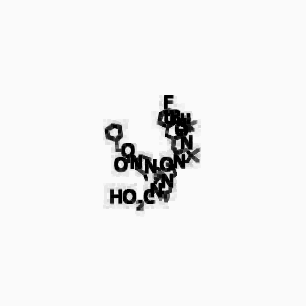 CC1CN(C(=O)OCc2ccccc2)CCN1C[C@H]1CN(C(=O)O)[C@H](C)CN1CC(=O)N1CC(C)(C)c2nc(O[Si](C)(C)C(C)(C)C)c(Cc3ccc(F)cc3)cc21